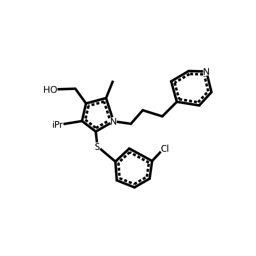 Cc1c(CO)c(C(C)C)c(Sc2cccc(Cl)c2)n1CCCc1ccncc1